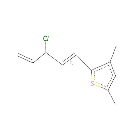 C=CC(Cl)/C=C/c1sc(C)cc1C